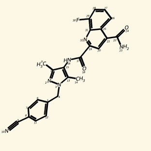 Cc1nn(Cc2ccc(C#N)cc2)c(C)c1NC(=O)c1cc(C(N)=O)c2cccc(F)c2n1